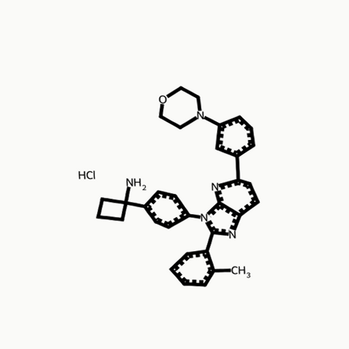 Cc1ccccc1-c1nc2ccc(-c3cccc(N4CCOCC4)c3)nc2n1-c1ccc(C2(N)CCC2)cc1.Cl